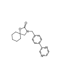 O=C1OC2(CCCCC2)CN1Cc1ccc(-c2cnccn2)cc1